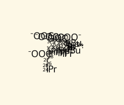 CC(C)CCCCC(=O)[O-].CC(C)CCCCC(=O)[O-].CC(C)CCCCC(=O)[O-].CC(C)CCCCC(=O)[O-].CC(C)CCCCC(=O)[O-].CCC[CH2][Sn+2][CH2]CCC.[Bi+3]